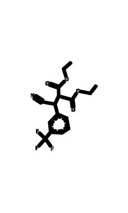 CCOC(=O)C(C(=O)OCC)C(C#N)c1cccc(C(F)(F)F)c1